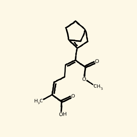 COC(=O)C(=CCC=C(C)C(=O)O)C1=C2CCC(C2)C1